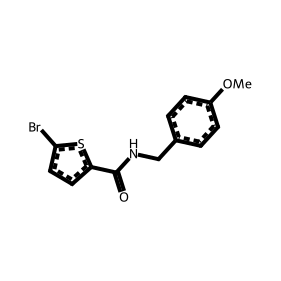 COc1ccc(CNC(=O)c2ccc(Br)s2)cc1